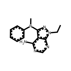 CCn1nc(N(C)c2ccccc2)c2c(N)ncnc21